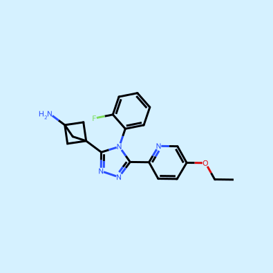 CCOc1ccc(-c2nnc(C34CC(N)(C3)C4)n2-c2ccccc2F)nc1